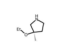 CCO[C@]1(C)CCNC1